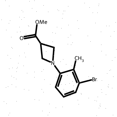 COC(=O)C1CN(c2cccc(Br)c2C)C1